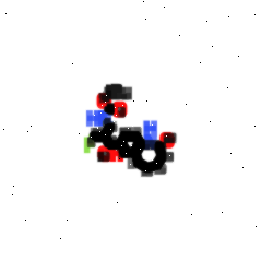 CC(C)(C)OC(=O)NC/C(=C/F)C(O)c1ccc2c(c1)CCCCC(=O)N2